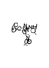 CC(C)OC(=O)N1CCC(Oc2nc(N[C@H]3CC[C@H](C)CC3)ncc2-c2ccc3c(c2)OCCO3)C1